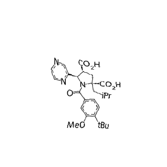 COc1cc(C(=O)N2[C@@H](c3cnccn3)[C@@H](C(=O)O)C[C@@]2(CC(C)C)C(=O)O)ccc1C(C)(C)C